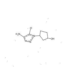 Nc1cnn(C2CCC(O)C2)c1Cl